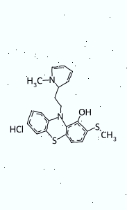 CSc1ccc2c(c1O)N(CCC1C=CC=CN1C)c1ccccc1S2.Cl